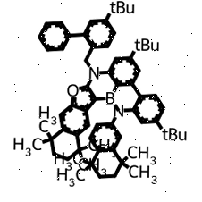 CC(C)(C)c1ccc(CN2c3cc(C(C)(C)C)cc4c3B(c3c2oc2cc5c(cc32)C(C)(C)CCC5(C)C)N(c2ccc3c(c2)C(C)(C)CCC3(C)C)c2cc(C(C)(C)C)ccc2-4)c(-c2ccccc2)c1